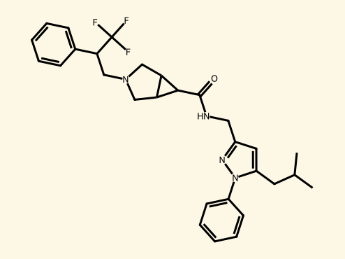 CC(C)Cc1cc(CNC(=O)C2C3CN(CC(c4ccccc4)C(F)(F)F)CC32)nn1-c1ccccc1